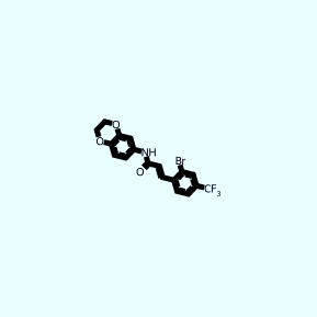 O=C(/C=C/c1ccc(C(F)(F)F)cc1Br)Nc1ccc2c(c1)OCCO2